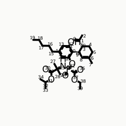 C=C(C)[C@@H]1CCC(C)=C[C@H]1c1c(O)cc(CCCCC)cc1OP(=O)(NC(C)(C)C(=O)OC(C)C)C(=O)OCC